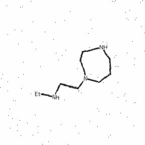 CCNCCN1CCCNCC1